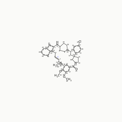 C/C=C/Cn1c(NC2CCN(CCC3(c4ccc(Cl)cc4)CCN(C(=O)c4cc(OC)c(OC)c(OC)c4)C3)CC2)nc2ccccc21